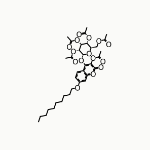 CCCCCCCCCCOc1ccc2c(O[C@@H]3O[C@H](COC(C)=O)[C@@H](OC(C)=O)[C@H](OC(C)=O)[C@H]3OC(C)=O)c(OC(C)=O)c(=O)oc2c1